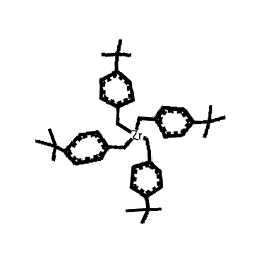 CC(C)(C)c1ccc([CH2][Zr]([CH2]c2ccc(C(C)(C)C)cc2)([CH2]c2ccc(C(C)(C)C)cc2)[CH2]c2ccc(C(C)(C)C)cc2)cc1